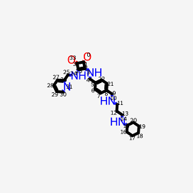 O=c1c(NCc2ccc(CNCCCNC3CCCCC3)cc2)c(NCc2ccccn2)c1=O